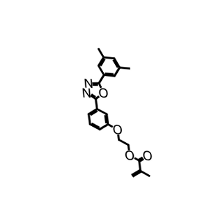 C=C(C)C(=O)OCCOc1cccc(-c2nnc(-c3cc(C)cc(C)c3)o2)c1